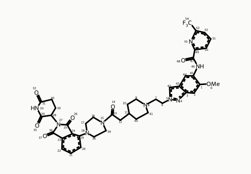 COc1cc2nn(CCN3CCC(CC(=O)N4CCN(c5cccc6c5C(=O)N(C5CCC(=O)NC5=O)C6=O)CC4)CC3)cc2cc1NC(=O)c1cccc(C(F)(F)F)n1